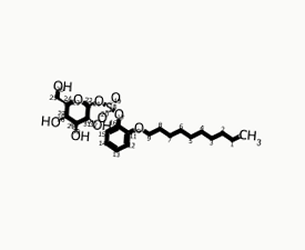 CCCCCCCCCCOc1ccccc1OS(=O)(=O)O[C@@H]1O[C@H](CO)[C@@H](O)[C@H](O)[C@H]1O